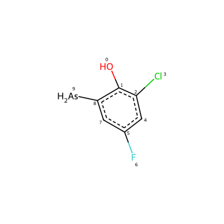 Oc1c(Cl)cc(F)cc1[AsH2]